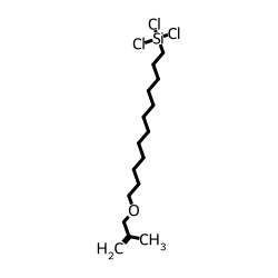 C=C(C)COCCCCCCCCCCCC[Si](Cl)(Cl)Cl